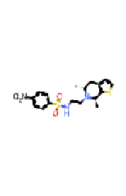 C[C@@H]1Cc2ccsc2[C@@H](C)N1CCNS(=O)(=O)c1ccc([N+](=O)[O-])cc1